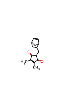 CC1=C(C)C(=O)C(CC2CC3C=CC2C3)C1=O